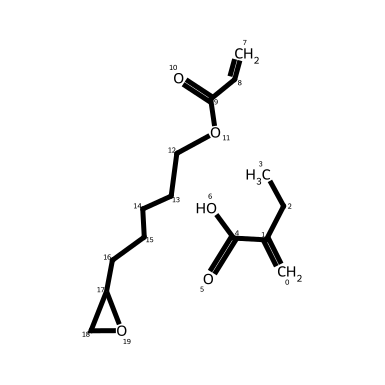 C=C(CC)C(=O)O.C=CC(=O)OCCCCCC1CO1